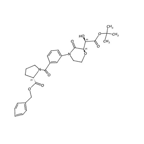 CC(C)(C)OC(=O)[C@H](O)[C@H]1OCCN(c2cccc(C(=O)N3CCC[C@H]3C(=O)OCc3ccccc3)c2)C1=O